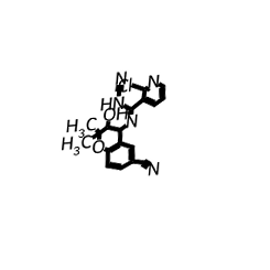 CC1(C)Oc2ccc(C#N)cc2C(N=C(NC#N)c2cccnc2Cl)C1O